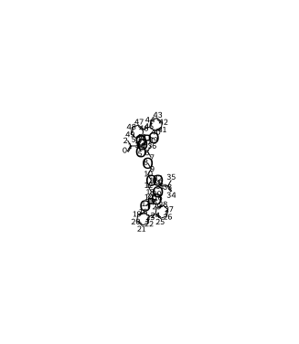 C=C(C)C(=O)OC(COCCOCC(CP1(=O)Oc2ccccc2-c2ccccc21)OC(=O)C(=C)C)CP1(=O)Oc2ccccc2-c2ccccc21